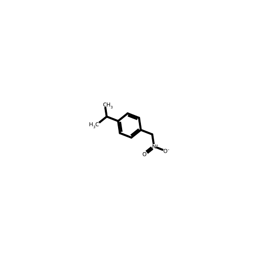 CC(C)c1ccc(C[N+](=O)[O-])cc1